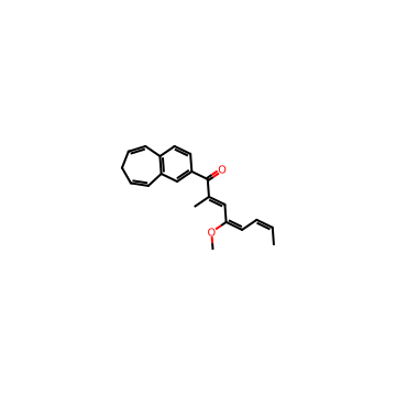 C\C=C/C=C(\C=C(/C)C(=O)c1ccc2c(c1)C=CCC=C2)OC